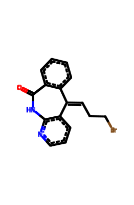 O=C1Nc2ncccc2C(=CCCBr)c2ccccc21